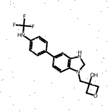 OC1(CN2CNc3cc(-c4ccc(NC(F)(F)F)cc4)ccc32)COC1